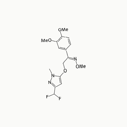 CON=C(COc1cc(C(F)F)nn1C)c1ccc(OC)c(OC)c1